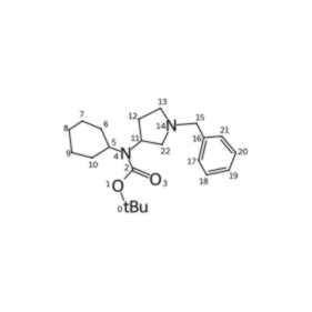 CC(C)(C)OC(=O)N(C1CCCCC1)C1CCN(Cc2ccccc2)C1